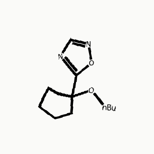 CCCCOC1(c2n[c]no2)CCCC1